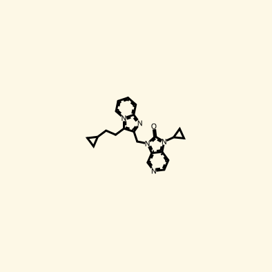 O=c1n(Cc2nc3ccccn3c2CCC2CC2)c2cnccc2n1C1CC1